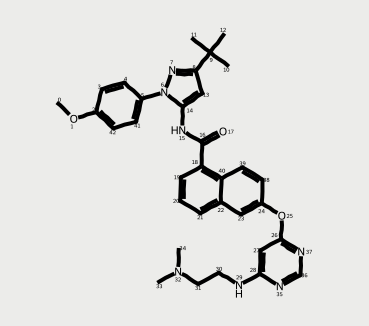 COc1ccc(-n2nc(C(C)(C)C)cc2NC(=O)c2cccc3cc(Oc4cc(NCCN(C)C)ncn4)ccc23)cc1